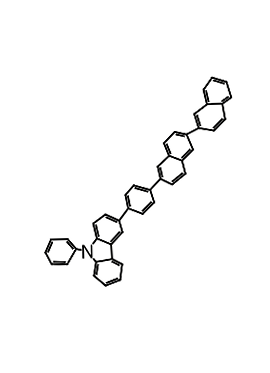 c1ccc(-n2c3ccccc3c3cc(-c4ccc(-c5ccc6cc(-c7ccc8ccccc8c7)ccc6c5)cc4)ccc32)cc1